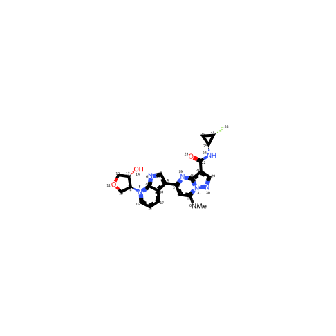 CNc1cc(-c2cnc3n([C@H]4COC[C@@H]4O)cccc2-3)nc2c(C(=O)N[C@@H]3C[C@@H]3F)cnn12